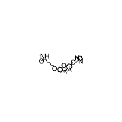 CNC(=O)CCCCCOc1ccc([C@@H](C)n2c(C)cc(OCc3ncccn3)cc2=O)cc1